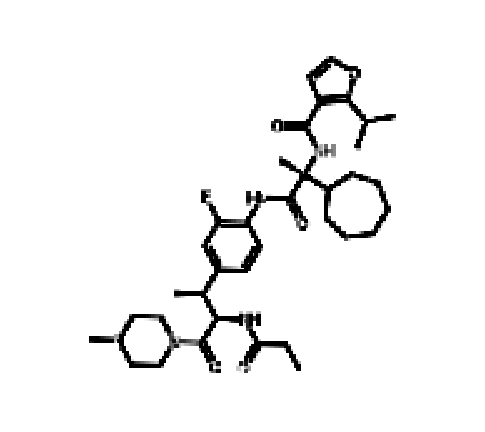 CCC(=O)N[C@@H](C(=O)N1CCN(C)CC1)[C@@H](C)c1ccc(NC(=O)[C@](C)(NC(=O)c2ccoc2C(C)C)C2CCCCCC2)c(F)c1